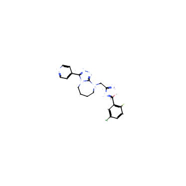 Fc1ccc(Cl)cc1-c1nc(CN2CCCCn3c(-c4ccncc4)nnc32)no1